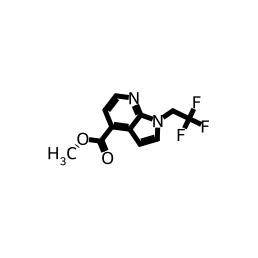 COC(=O)c1ccnc2c1ccn2CC(F)(F)F